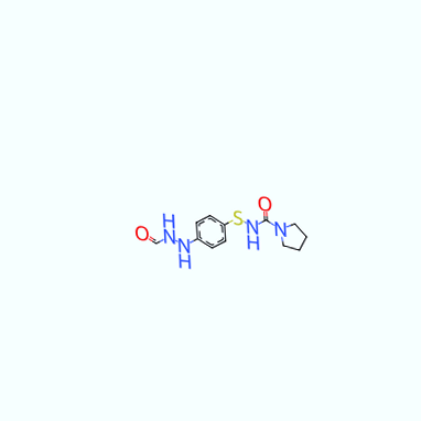 O=CNNc1ccc(SNC(=O)N2CCCC2)cc1